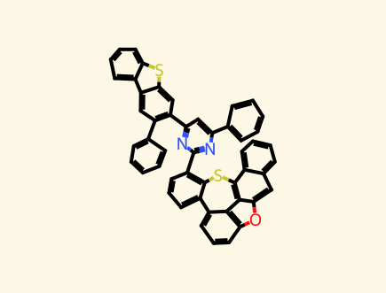 c1ccc(-c2cc(-c3cc4sc5ccccc5c4cc3-c3ccccc3)nc(-c3cccc4c3sc3c5ccccc5cc5oc6cccc4c6c53)n2)cc1